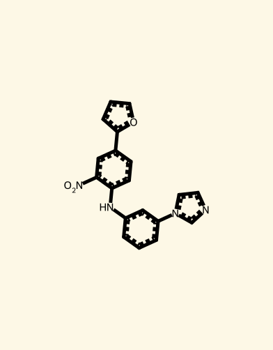 O=[N+]([O-])c1cc(-c2ccco2)ccc1Nc1cccc(-n2ccnc2)c1